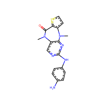 CN1C(=O)c2sccc2N(C)c2nc(Nc3ccc(N)cc3)ncc21